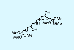 CO[Si](COCC(O)CNCNCC(O)OC[Si](OC)(OC)OC)(OC)OC